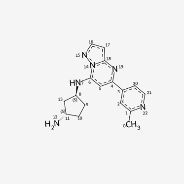 Cc1cc(-c2cc(N[C@H]3CC[C@H](N)C3)n3nccc3n2)ccn1